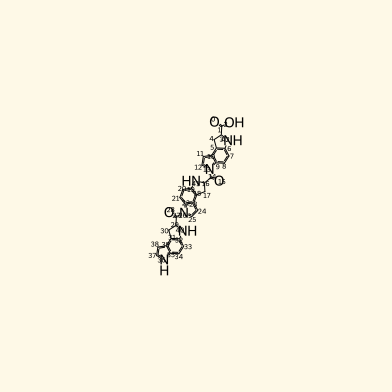 O=C(O)C1Cc2c(ccc3c2ccn3C(=O)C2Cc3c(ccc4c3ccn4C(=O)C3Cc4c(ccc5[nH]ccc45)N3)N2)N1